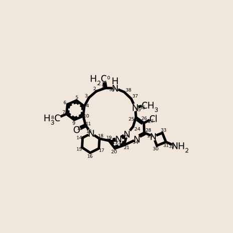 C=C1CCc2ccc(C)cc2C(=O)N2CCCCC2c2cc3n(n2)CC(=C(Cl)C(N2CC(N)C2)=N3)N(C)CCN1